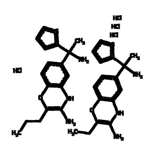 CCC1=C(N)Nc2cc(C(C)(N)c3cccs3)ccc2O1.CCCC1=C(N)Nc2cc(C(C)(N)c3cccs3)ccc2O1.Cl.Cl.Cl.Cl